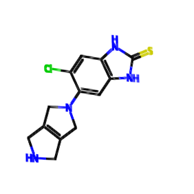 S=c1[nH]c2cc(Cl)c(N3CC4=C(CNC4)C3)cc2[nH]1